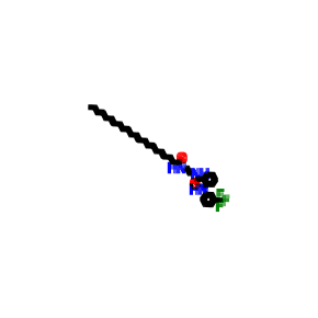 CCC=CCC=CCC=CCC=CCC=CCC=CCCC(=O)NCCNC(=O)c1ccccc1Nc1cccc(C(F)(F)F)c1